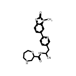 Cn1c(=O)oc2ccc(-c3ccc(CC(C#N)NC(=O)C4CNCCCO4)cn3)cc21